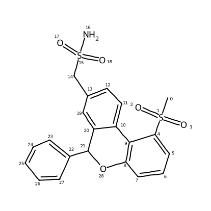 CS(=O)(=O)c1cccc2c1-c1ccc(CS(N)(=O)=O)cc1C(c1ccccc1)O2